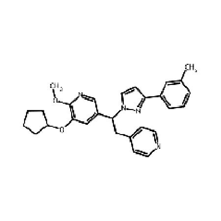 COc1ncc(C(Cc2ccncc2)n2ccc(-c3cccc(C)c3)n2)cc1OC1CCCC1